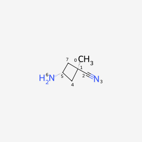 C[C@]1(C#N)C[C@H](N)C1